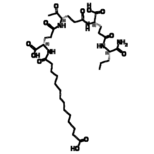 CCC[C@H](NC(=O)CC[C@H](NC(=O)CC[C@H](NC(=O)CC[C@H](NC(=O)CCCCCCCCCCCCC(=O)O)C(=O)O)C(C)=O)C(=O)O)C(N)=O